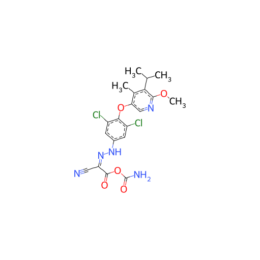 COc1ncc(Oc2c(Cl)cc(NN=C(C#N)C(=O)OC(N)=O)cc2Cl)c(C)c1C(C)C